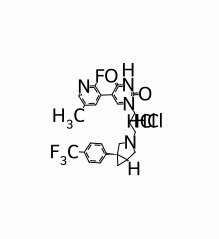 Cc1cnc(F)c(-c2cn(CCCN3C[C@@H]4C[C@]4(c4ccc(C(F)(F)F)cc4)C3)c(=O)[nH]c2=O)c1.Cl.Cl